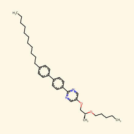 CCCCCCCCCCCc1ccc(-c2ccc(-c3ncc(OC[C@H](C)OCCCCC)cn3)cc2)cc1